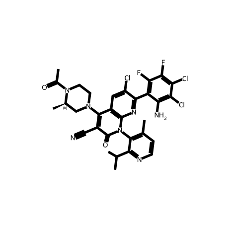 CC(=O)N1CCN(c2c(C#N)c(=O)n(-c3c(C)ccnc3C(C)C)c3nc(-c4c(N)c(Cl)c(Cl)c(F)c4F)c(Cl)cc23)C[C@H]1C